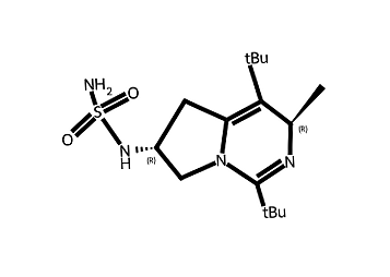 C[C@H]1N=C(C(C)(C)C)N2C[C@H](NS(N)(=O)=O)CC2=C1C(C)(C)C